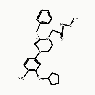 CCONC(=O)CN1CCN(c2ccc(OC)c(OC3CCCC3)c2)C[C@@H]1Cc1ccccc1